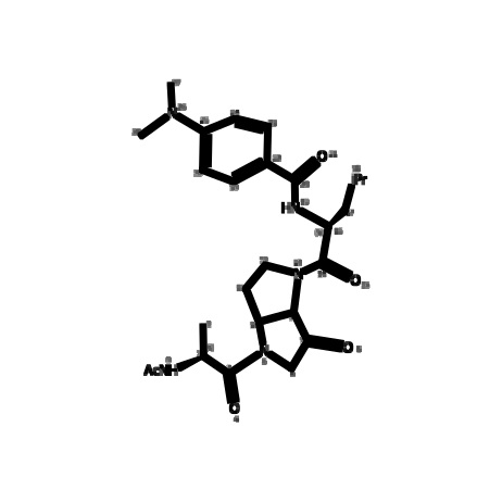 CC(=O)N[C@@H](C)C(=O)N1CC(=O)C2C1CCN2C(=O)[C@H](CC(C)C)NC(=O)c1ccc(N(C)C)cc1